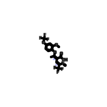 C=N/C(=C\C(C(=O)O)=C(/C)Oc1ccc(OC(F)(F)F)cc1OC)C(F)(F)F